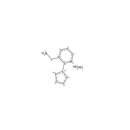 Cl.Cl.NCc1cccnc1-c1cccs1